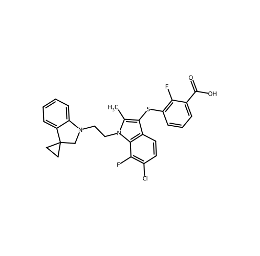 Cc1c(Sc2cccc(C(=O)O)c2F)c2ccc(Cl)c(F)c2n1CCN1CC2(CC2)c2ccccc21